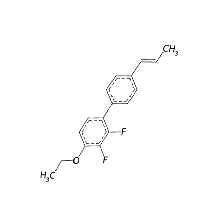 C/C=C/c1ccc(-c2ccc(OCC)c(F)c2F)cc1